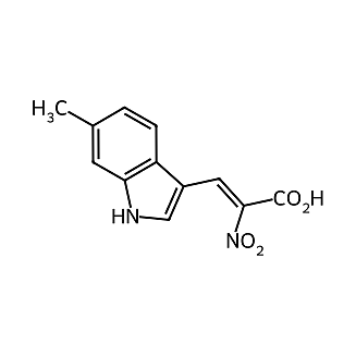 Cc1ccc2c(C=C(C(=O)O)[N+](=O)[O-])c[nH]c2c1